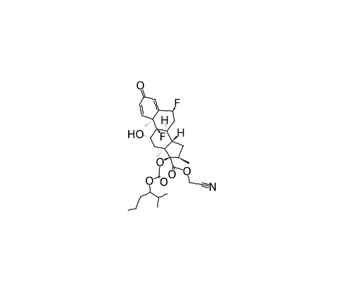 CCCC(OC(=O)O[C@]1(C(=O)OCC#N)[C@H](C)C[C@H]2[C@@H]3C[C@H](F)C4=CC(=O)C=C[C@]4(C)[C@@]3(F)[C@@H](O)C[C@@]21C)C(C)C